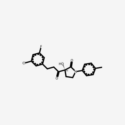 Cc1ccc(N2CC[C@@](O)(C(=O)CCc3cc(F)cc(Cl)c3)C2=O)cc1